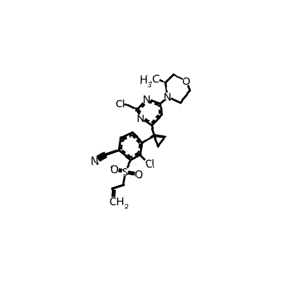 C=CCS(=O)(=O)c1c(C#N)ccc(C2(c3cc(N4CCOC[C@@H]4C)nc(Cl)n3)CC2)c1Cl